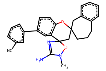 CN1OC2(CC3(CCCc4ccccc4C3)Oc3ccc(-c4cccc(C#N)c4)cc32)N=C1N